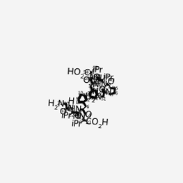 CC(C)[C@H](NC(=O)[C@H](Cc1ccccc1)NC(=O)[C@@H](NC(=O)CN)C(C)C)C(=O)O.CC(C)[C@H](NC(=O)[C@H](Cc1ccccc1)NC(=O)[C@@H](NC(=O)[C@@H]1CCCN1C(=O)CN)C(C)C)C(=O)O